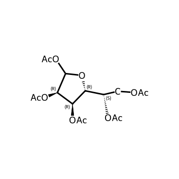 CC(=O)OC[C@H](OC(C)=O)[C@H]1OC(OC(C)=O)[C@H](OC(C)=O)[C@@H]1OC(C)=O